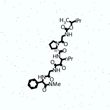 CCCC(NC(=O)[C@@H]1CCCN1C(=O)CNC(=O)OC(C)C(C)C)C(=O)C(=O)NCC(=O)NC(C(=O)NC)c1ccccc1